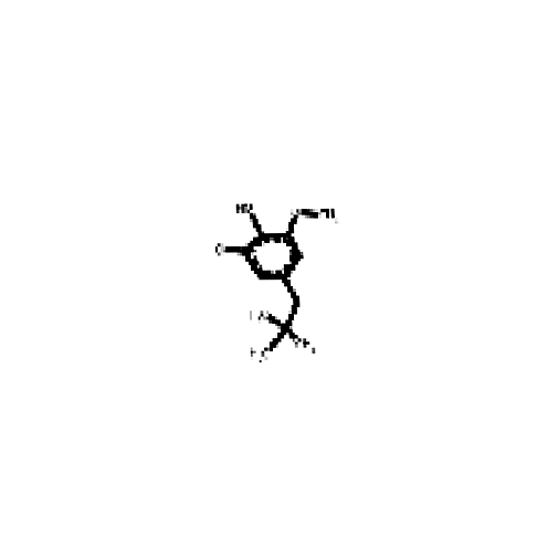 COc1cc(CC(C)(C)C)cc(Cl)c1O